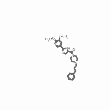 COc1cc(C2NC(C(=O)N3CCN(CCCc4ccccc4)CC3)CS2)cnc1OC